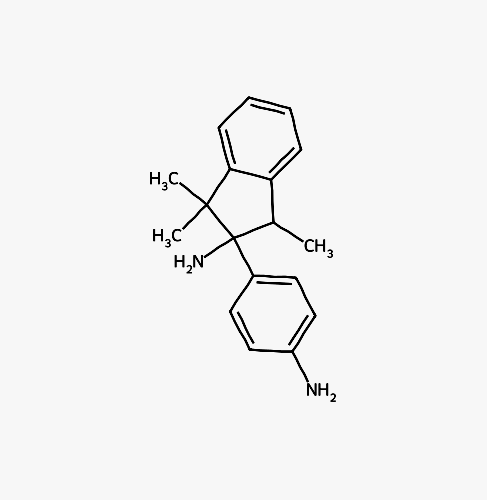 CC1c2ccccc2C(C)(C)C1(N)c1ccc(N)cc1